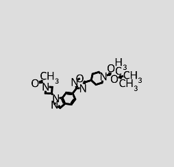 CC(=O)N1CC(n2ncc3ccc(-c4noc(C5CCN(C(=O)OC(C)(C)C)CC5)n4)cc32)C1